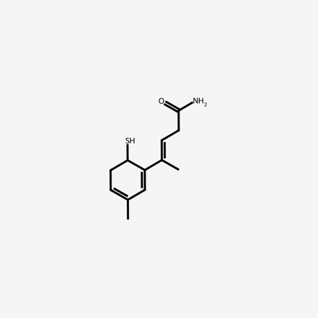 CC1=CCC(S)C(/C(C)=C/CC(N)=O)=C1